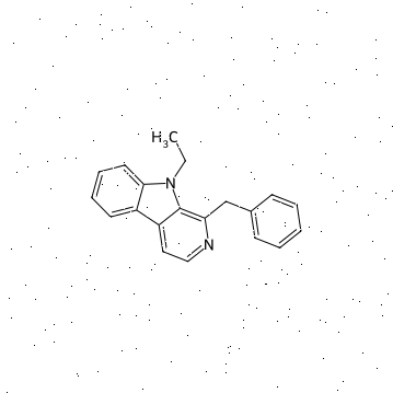 CCn1c2ccccc2c2ccnc(Cc3ccccc3)c21